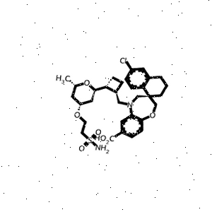 C[C@H]1C[C@@H](OCCS(N)(=O)=O)C[C@H]([C@@H]2CC[C@H]2CN2C[C@@]3(CCCc4cc(Cl)ccc43)COc3ccc(C(=O)O)cc32)O1